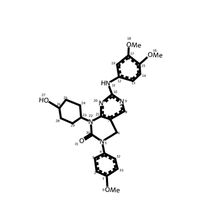 COc1ccc(N2Cc3cnc(Nc4ccc(OC)c(OC)c4)nc3N(C3CCC(O)CC3)C2=O)cc1